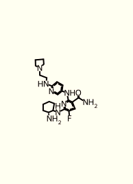 NC(=O)c1cc(F)c(NC2CCCC[C@@H]2N)nc1Nc1ccc(NCCN2CCCC2)nc1